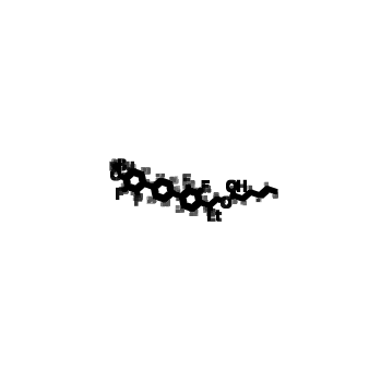 C/C=C/CCC(O)OCC(CC)c1ccc(-c2ccc(-c3ccc(OCCCC)c(F)c3F)cc2)c(F)c1F